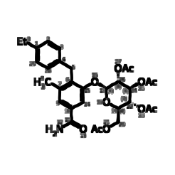 CCc1ccc(Cc2c(C)cc(C(N)=O)cc2O[C@@H]2O[C@H](COC(C)=O)[C@@H](OC(C)=O)[C@H](OC(C)=O)[C@H]2OC(C)=O)cc1